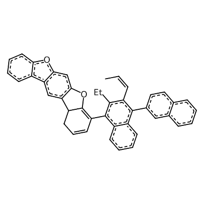 C/C=C\c1c(CC)c(C2=C3Oc4cc5oc6ccccc6c5cc4C3CC=C2)c2ccccc2c1-c1ccc2ccccc2c1